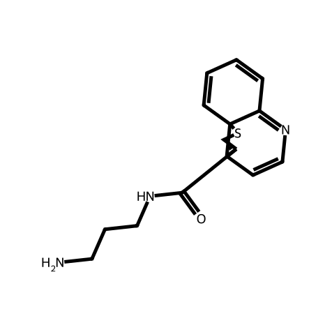 NCCCNC(=O)C1=C2C=CN=C3C=CC=CC32SC1